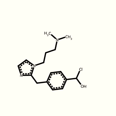 CN(C)CCCn1ccnc1Cc1ccc(C(O)Cl)cc1